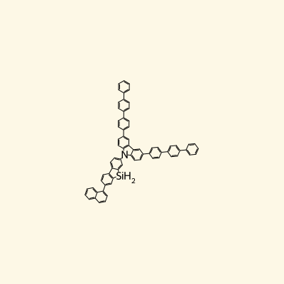 c1ccc(-c2ccc(-c3ccc(-c4ccc5c(c4)c4cc(-c6ccc(-c7ccc(-c8ccccc8)cc7)cc6)ccc4n5-c4ccc5c(c4)[SiH2]c4cc(-c6cccc7ccccc67)ccc4-5)cc3)cc2)cc1